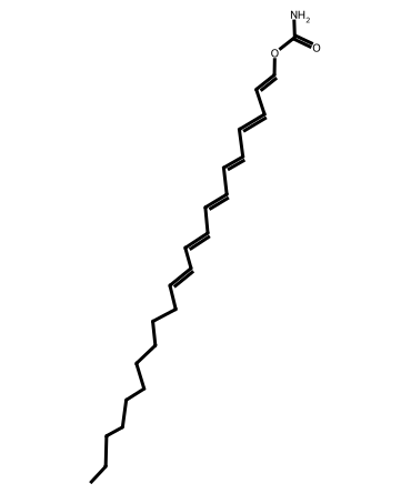 CCCCCCCCCC/C=C/C=C/C=C/C=C/C=C/C=C/OC(N)=O